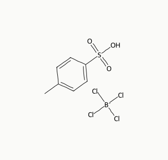 Cc1ccc(S(=O)(=O)O)cc1.Cl[B-](Cl)(Cl)Cl